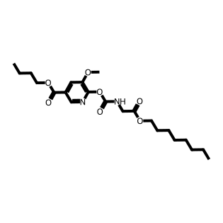 CCCCCCCCOC(=O)CNC(=O)Oc1ncc(C(=O)OCCCC)cc1OC